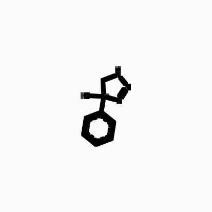 S[N+]1(c2ccccc2)CNN=N1